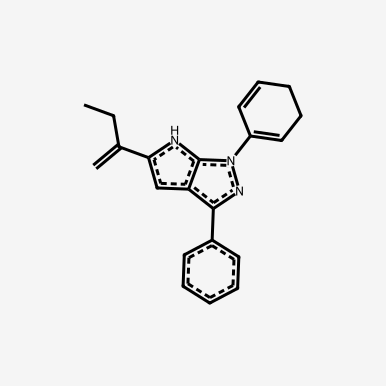 C=C(CC)c1cc2c(-c3ccccc3)nn(C3=CCCC=C3)c2[nH]1